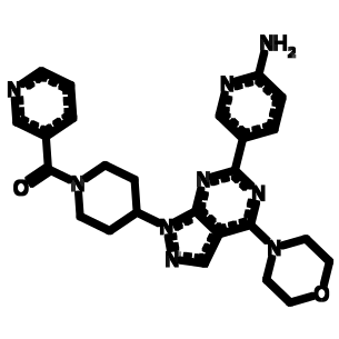 Nc1ccc(-c2nc(N3CCOCC3)c3cnn(C4CCN(C(=O)c5cccnc5)CC4)c3n2)cn1